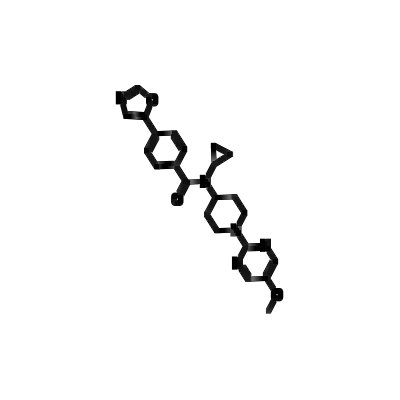 COc1cnc(N2CCC(N(C(=O)c3ccc(-c4cnco4)cc3)C3CC3)CC2)nc1